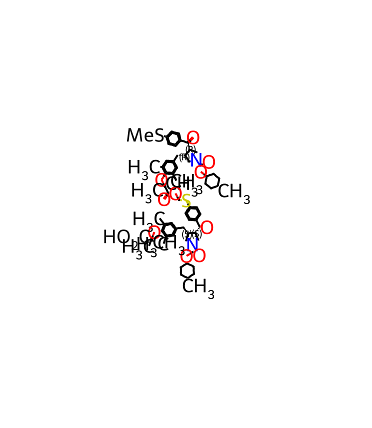 CSc1ccc(C(=O)[C@H]2CN(C(=O)OC3CCC(C)CC3)C[C@@H]2Cc2cc(C)c(OC(C)(C)C(=O)OCSc3ccc(C(=O)[C@@H]4CN(C(=O)OC5CCC(C)CC5)C[C@H]4Cc4cc(C)c(OC(C)(C)C(=O)O)c(C)c4)cc3)c(C)c2)cc1